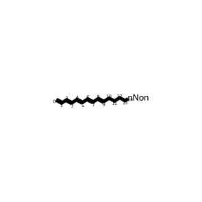 C=CC=CC=CC=CC=CCCCCCCCCCCCCC